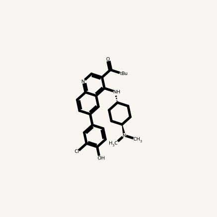 CN(C)[C@H]1CC[C@H](Nc2c(C(=O)C(C)(C)C)cnc3ccc(-c4ccc(O)c(Cl)c4)cc23)CC1